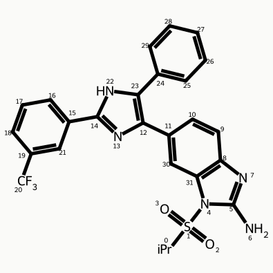 CC(C)S(=O)(=O)n1c(N)nc2ccc(-c3nc(-c4cccc(C(F)(F)F)c4)[nH]c3-c3ccccc3)cc21